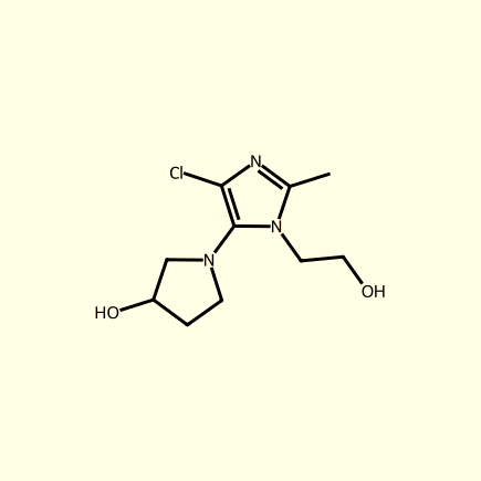 Cc1nc(Cl)c(N2CCC(O)C2)n1CCO